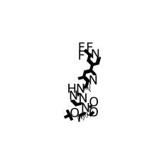 Cc1cc(-c2ccnc(C(F)(F)F)c2)cnc1[C@H](C)Nc1nccc(N2C(=O)OC[C@@H]2[C@@H](C)OC(C)(C)C)n1